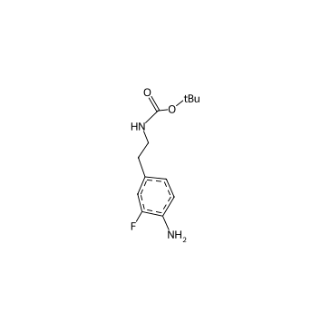 CC(C)(C)OC(=O)NCCc1ccc(N)c(F)c1